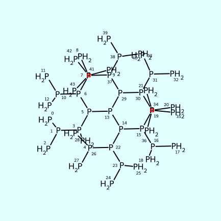 PP(P)P(P)P(P(P(P)P)P(P)P)P(P(P(P(P)P)P(P)P)P(P(P)P)P(P)P)P(P(P(P)P)P(P)P)P(P(P)P)P(P)P